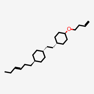 C=CCCO[C@H]1CC[C@H](CC[C@H]2CC[C@H](CC/C=C/CC)CC2)CC1